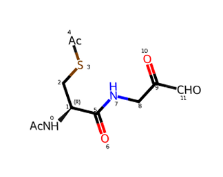 CC(=O)N[C@@H](CSC(C)=O)C(=O)NCC(=O)C=O